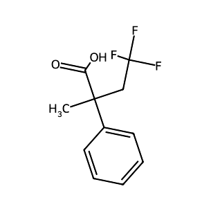 CC(CC(F)(F)F)(C(=O)O)c1ccccc1